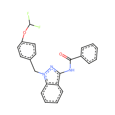 O=C(Nc1nn(Cc2ccc(OC(F)F)cc2)c2ccccc12)c1ccccc1